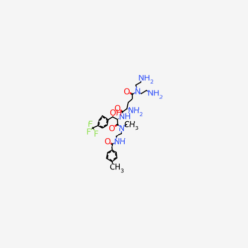 Cc1ccc(C(=O)NCCN(C)C(=O)[C@@H](NC(=O)[C@@H](N)CCC(=O)N(CCN)CCN)[C@H](O)c2ccc(C(F)(F)F)cc2)cc1